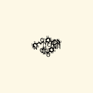 Cc1c(NC(=O)C=Cc2cccnc2)cccc1-c1cn2ccnc2c(Nc2ccc(C(=O)N3CCOCC3)cc2)n1